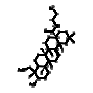 CC(=O)OC[C@]1(C)C2CC[C@]3(C)[C@H](CC=C4[C@H]5CC(C)(C)CC[C@]5(C(=O)NCCC#N)CC[C@]43C)[C@@]2(C)CC[C@@H]1OC(C)=O